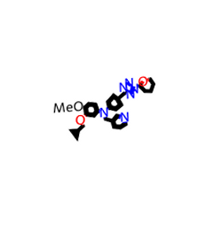 COc1ccc(N(Cc2cccnc2)c2ccc(-c3nnn(C4CCCCO4)n3)cc2)cc1OCC1CC1